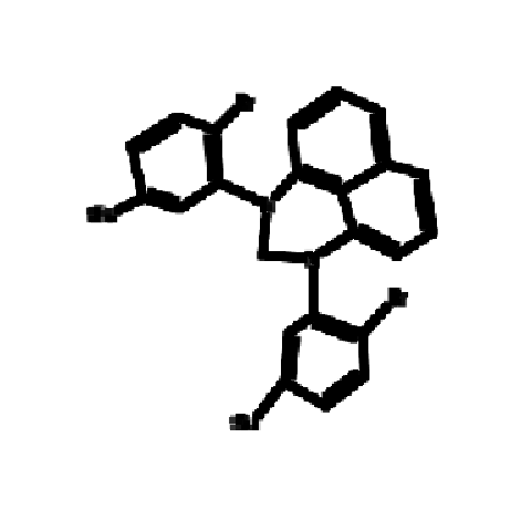 CC(C)(C)c1ccc(Br)c(N2CN(c3cc(C(C)(C)C)ccc3Br)c3cccc4cccc2c34)c1